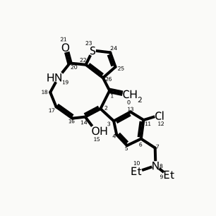 C=C1/C(c2ccc(CN(CC)CC)c(Cl)c2)=C(O)\C=C/CNC(=O)c2sccc21